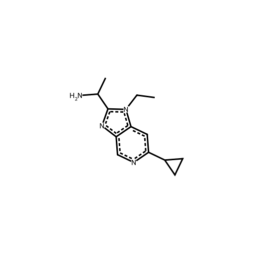 CCn1c(C(C)N)nc2cnc(C3CC3)cc21